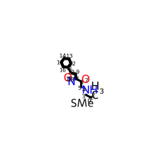 CSC(C)CNCC(=O)c1cc(-c2ccccc2)on1